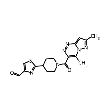 Cc1cc2nnc(C(=O)N3CCC(c4nc(C=O)cs4)CC3)c(C)n2n1